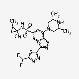 CC1CC1(C#N)NS(=O)(=O)c1cc(N2C[C@H](C)N[C@@H](C)C2)c2cnc(-c3nnc(C(F)F)s3)n2c1